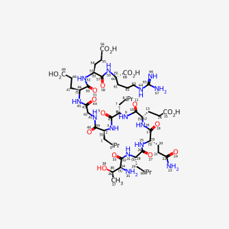 CC(C)C[C@H](NC(=O)[C@H](CC(C)C)NC(=O)[C@H](CCC(=O)O)NC(=O)[C@H](CCC(N)=O)NC(=O)[C@H](CC(C)C)NC(=O)[C@@H](N)[C@@H](C)O)C(=O)NCC(=O)N[C@@H](CCC(=O)O)C(=O)N[C@@H](CCC(=O)O)C(=O)N[C@@H](CCCNC(=N)N)C(=O)O